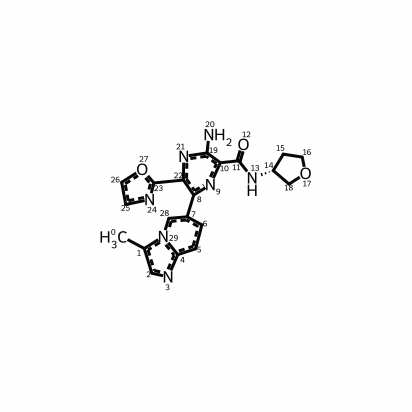 Cc1cnc2ccc(-c3nc(C(=O)N[C@@H]4CCOC4)c(N)nc3-c3ncco3)cn12